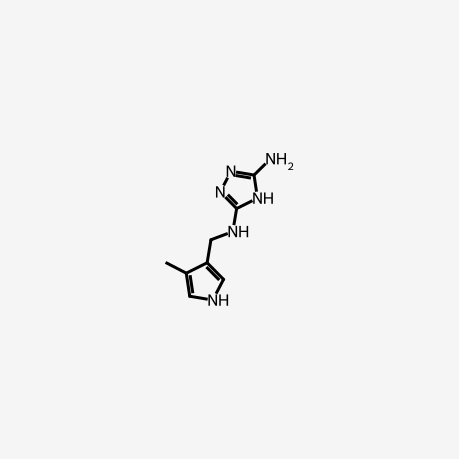 Cc1c[nH]cc1CNc1nnc(N)[nH]1